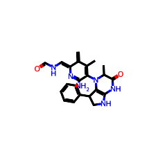 C=c1c(C)c(N2C3=C(NCC3c3ccccc3)NC(=O)C2C)c(N)nc1=CNC=O